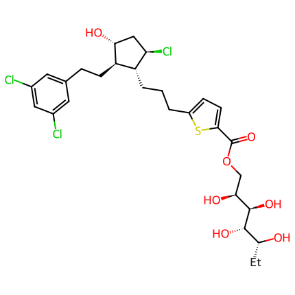 CC[C@@H](O)[C@H](O)[C@H](O)[C@@H](O)COC(=O)c1ccc(CCC[C@@H]2[C@@H](CCc3cc(Cl)cc(Cl)c3)[C@H](O)C[C@H]2Cl)s1